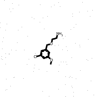 COc1cc(Cl)cc(COCCN)c1